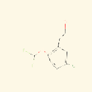 OCCc1cc(Cl)ccc1OC(F)F